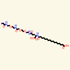 O=C(O)CCCCCCCCCCCCCCCC(=O)N[C@H](CCC(=O)NCCOCCOCC(=O)NCCOCCNC(=O)CI)C(=O)O